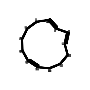 [CH]1/C=C/C=C/CCCC/C=C\CC1